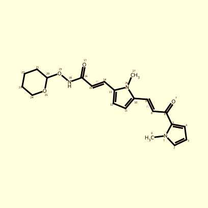 Cn1cccc1C(=O)/C=C/c1ccc(/C=C/C(=O)NOC2CCCCO2)n1C